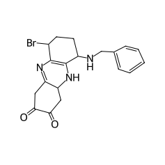 O=C1CC2=NC3=C(NC2CC1=O)C(NCc1ccccc1)CCC3Br